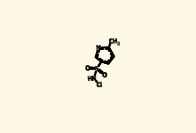 Cc1ccc(S(=O)(=O)NCl)cn1